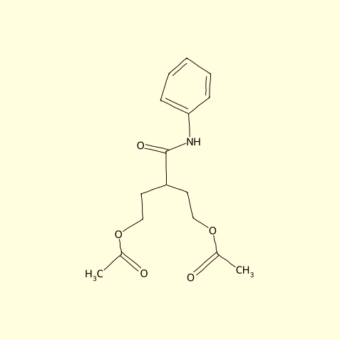 CC(=O)OCCC(CCOC(C)=O)C(=O)Nc1ccccc1